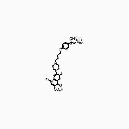 CCn1cc(C(=O)O)c(=O)c2cc(F)c(N3CCN(CCCCOc4ccc([C@@H](O)CN(C)C(C)=O)cc4)CC3)nc21